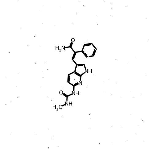 CNC(=O)Nc1ccc2c(/C=C(/C(N)=O)c3ccccc3)c[nH]c2n1